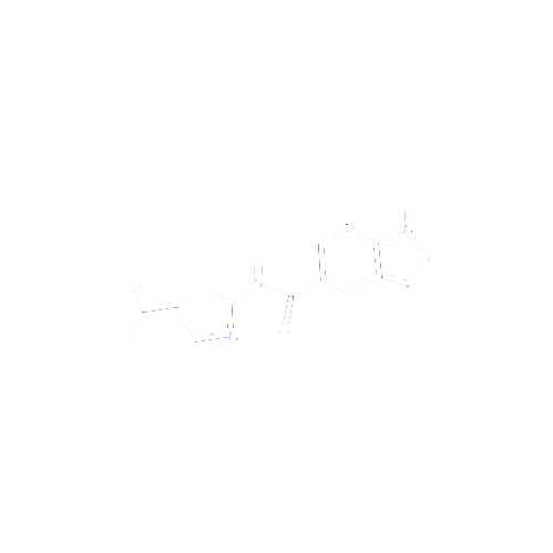 CC(C)c1cnc(NC(=O)c2ccc3[nH]ccc3c2)s1